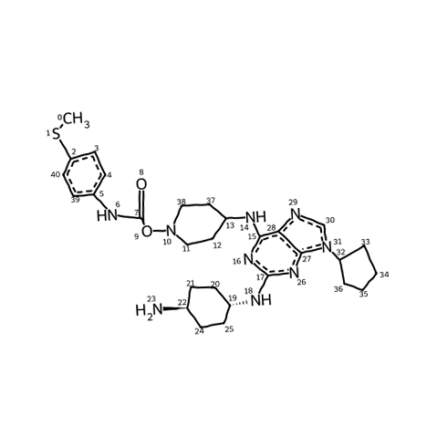 CSc1ccc(NC(=O)ON2CCC(Nc3nc(N[C@H]4CC[C@H](N)CC4)nc4c3ncn4C3CCCC3)CC2)cc1